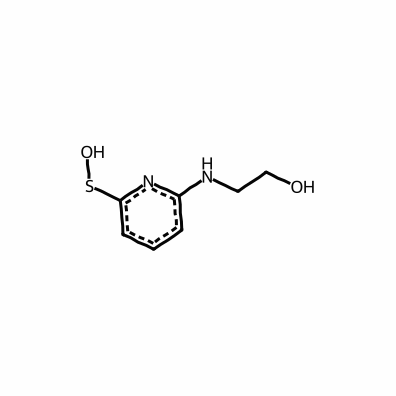 OCCNc1cccc(SO)n1